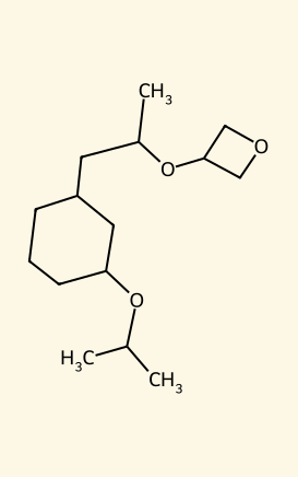 CC(C)OC1CCCC(CC(C)OC2COC2)C1